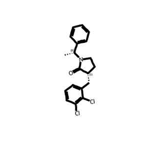 C[C@H](c1ccccc1)N1CC[C@H](Cc2cccc(Cl)c2Cl)C1=O